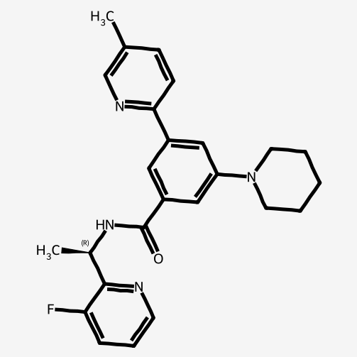 Cc1ccc(-c2cc(C(=O)N[C@H](C)c3ncccc3F)cc(N3CCCCC3)c2)nc1